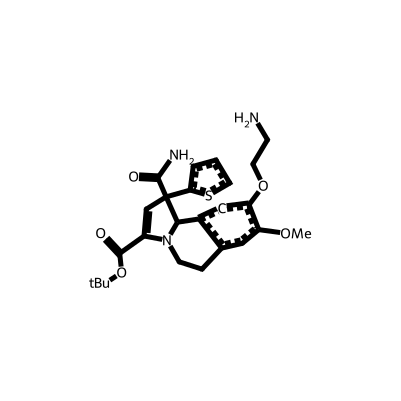 COc1cc2c(cc1OCCN)C1N(CC2)C(C(=O)OC(C)(C)C)=CC1(C(N)=O)c1cccs1